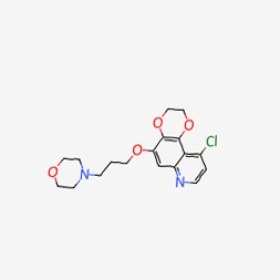 Clc1ccnc2cc(OCCCN3CCOCC3)c3c(c12)OCCO3